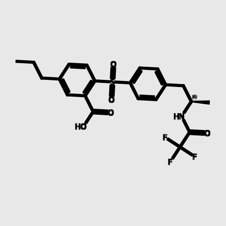 CCCc1ccc(S(=O)(=O)c2ccc(C[C@@H](C)NC(=O)C(F)(F)F)cc2)c(C(=O)O)c1